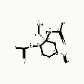 C=C[C@@H]1CC[C@@H](OC(C)=O)[C@@](CO)(NC(C)=O)C1